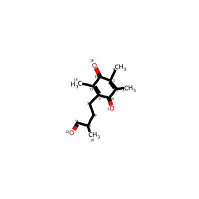 CC1=C(C)C(=O)C(CCC(C)C=O)=C(C)C1=O